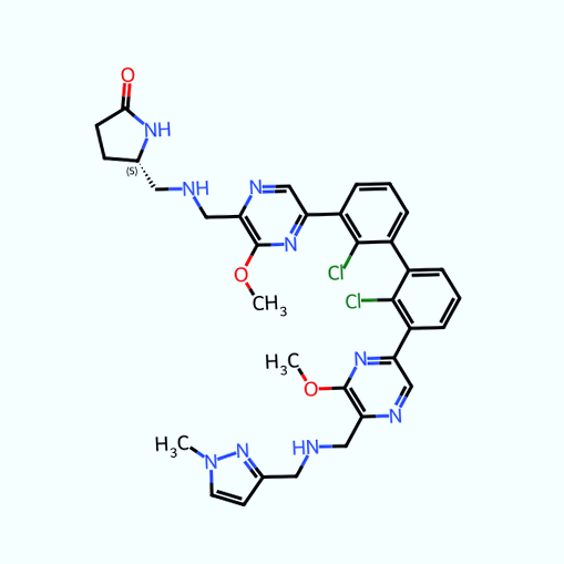 COc1nc(-c2cccc(-c3cccc(-c4cnc(CNC[C@@H]5CCC(=O)N5)c(OC)n4)c3Cl)c2Cl)cnc1CNCc1ccn(C)n1